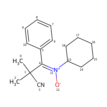 CC(C)(C#N)/C(c1ccccc1)=[N+](\[O-])C1CCCCC1